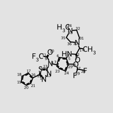 CC(C(=O)Nc1cc(N(C(=O)C(F)(F)F)c2nnc(-c3ccccc3)s2)ccc1OC(F)F)N1CCN(C)CC1